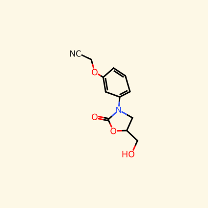 N#CCOc1cccc(N2CC(CO)OC2=O)c1